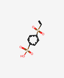 C=CS(=O)(=O)c1[c]cc(S(=O)(=O)O)cc1